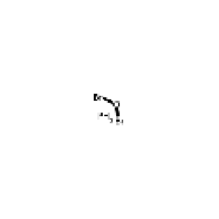 BrOBr.P